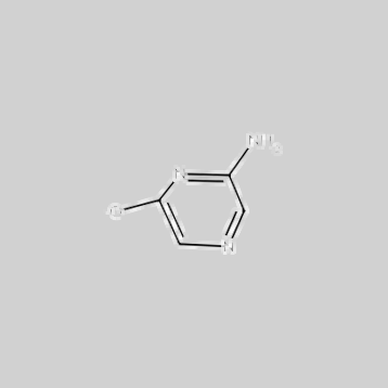 Nc1cncc([O])n1